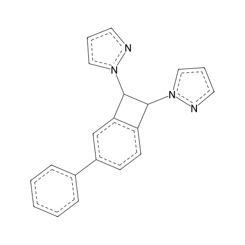 c1ccc(-c2ccc3c(c2)C(n2cccn2)C3n2cccn2)cc1